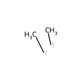 [C]C.[C]C